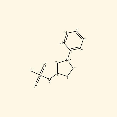 CS(=O)(=O)OC1CCN(c2ccccn2)C1